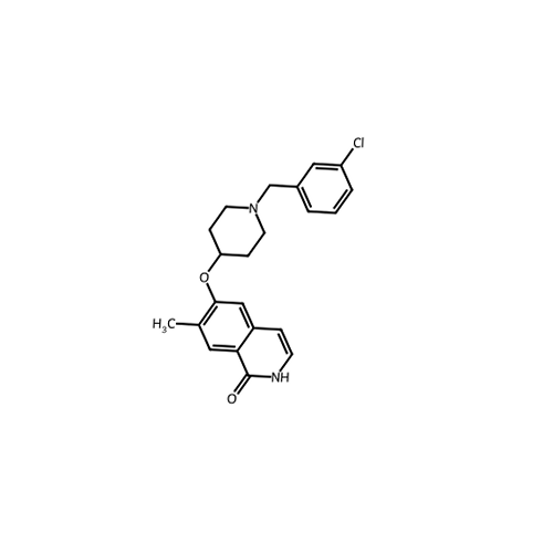 Cc1cc2c(=O)[nH]ccc2cc1OC1CCN(Cc2cccc(Cl)c2)CC1